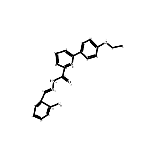 CCOc1ccc(-c2cccc(C(=O)NN=Cc3ccccc3Cl)n2)cc1